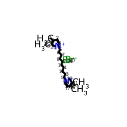 Cc1cc[n+](CCCCCCCCCC[n+]2ccc(C)c(C)c2)cc1C.[Br-].[Br-]